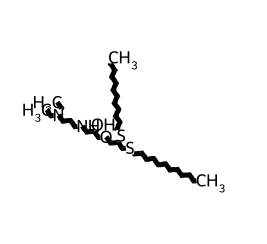 CCCCCCCCCCCCSCC(COCC(O)CNCCCN(CC)CC)SCCCCCCCCCCCC